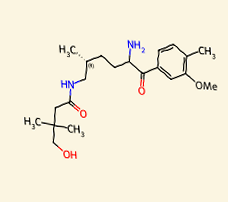 COc1cc(C(=O)C(N)CC[C@@H](C)CNC(=O)CC(C)(C)CO)ccc1C